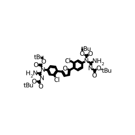 CC(C)(C)OC(=O)N=C(N)N(C(=O)OC(C)(C)C)c1ccc(-c2ccc(-c3ccc(N(C(=O)OC(C)(C)C)C(N)=NC(=O)OC(C)(C)C)cc3Cl)o2)c(Cl)c1